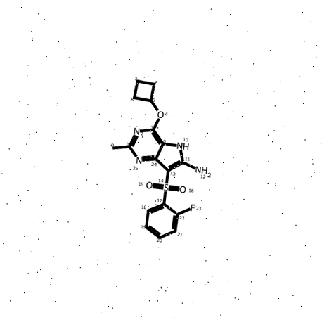 Cc1nc(OC2CCC2)c2[nH]c(N)c(S(=O)(=O)c3ccccc3F)c2n1